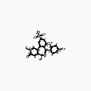 CCS(=O)(=O)c1ccc2c(c1)-c1cn(C)c(=O)cc1[C@H](C)N=C2c1ccc(F)cc1Cl